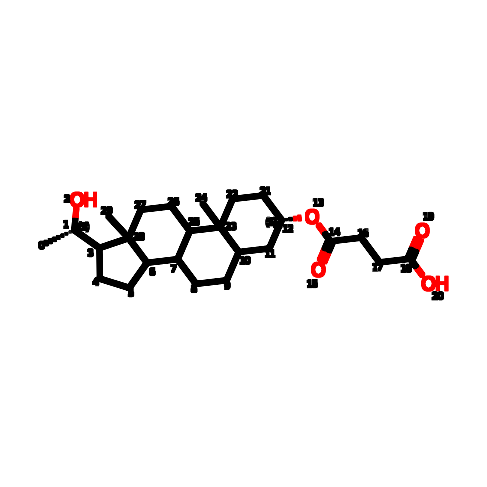 C[C@H](O)C1CCC2C3CCC4C[C@@H](OC(=O)CCC(=O)O)CCC4(C)C3CCC21C